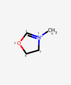 C[N+]1=COCC1